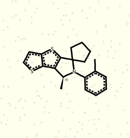 Cc1ccccc1N1[C@@H](C)c2c(sc3ccsc23)C12CCCC2